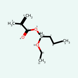 C=C(C)C(=O)O[SiH](CCC)OCC